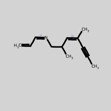 C=C/C=N\CC(C)/C=C(/C)C#CC